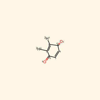 [2H]C1=C([2H])C(=O)C=CC1=O